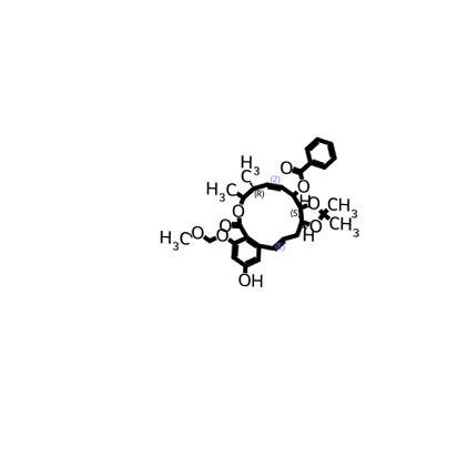 COCOc1cc(O)cc2c1C(=O)OC(C)[C@H](C)/C=C\C(OC(=O)c1ccccc1)[C@H]1OC(C)(C)O[C@H]1C/C=C/2